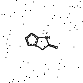 O=C1Cn2cccc2N1